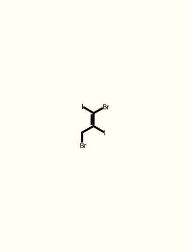 BrC/C(I)=C(/Br)I